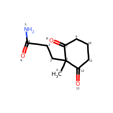 CC1(CCC(N)=O)C(=O)CCCC1=O